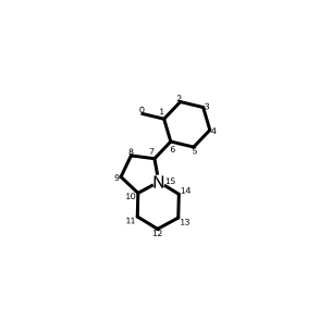 CC1CCCCC1C1CCC2CCCCN21